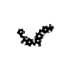 O=C(NCC1CCCO1)c1ccc(CN2CC3(CCN(Cc4ccc(C(F)(F)F)cc4)CC3)OC2=O)cc1